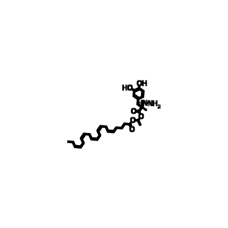 CC/C=C\C/C=C\C/C=C\C/C=C\C/C=C\CCCC(=O)OC(C)OC(=O)[C@](C)(Cc1ccc(O)c(O)c1)NN